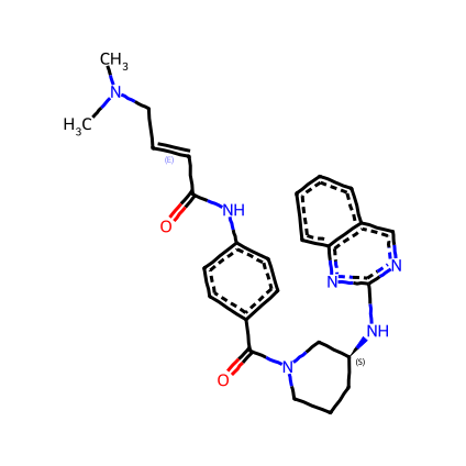 CN(C)C/C=C/C(=O)Nc1ccc(C(=O)N2CCC[C@H](Nc3ncc4ccccc4n3)C2)cc1